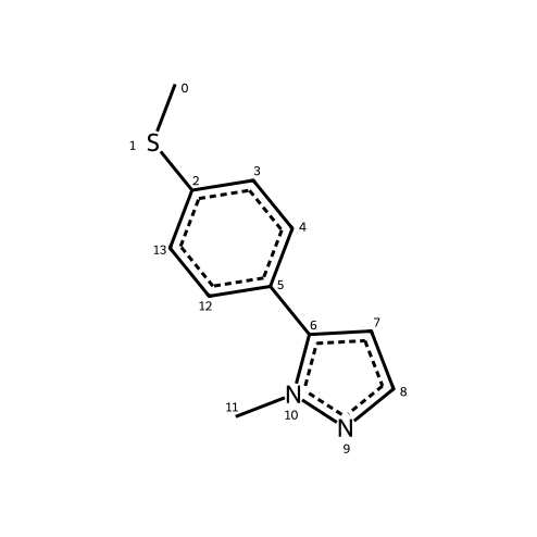 CSc1ccc(-c2ccnn2C)cc1